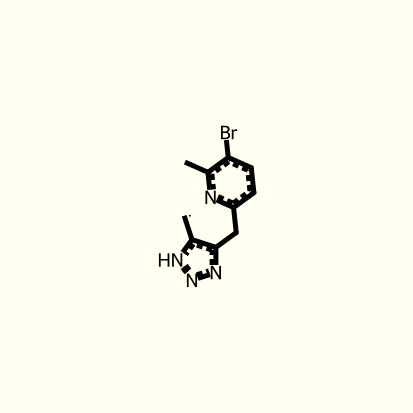 [CH2]c1[nH]nnc1Cc1ccc(Br)c(C)n1